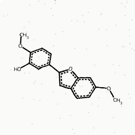 COc1ccc2cc(-c3ccc(OC)c(O)c3)oc2c1